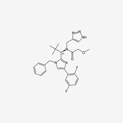 COCC(=O)N(Cc1c[nH]nn1)[C@@H](c1nc(-c2cc(F)ccc2F)cn1Cc1ccccc1)C(C)(C)C